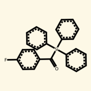 O=C(c1ccc(F)cc1)[Si](c1ccccc1)(c1ccccc1)c1ccccc1